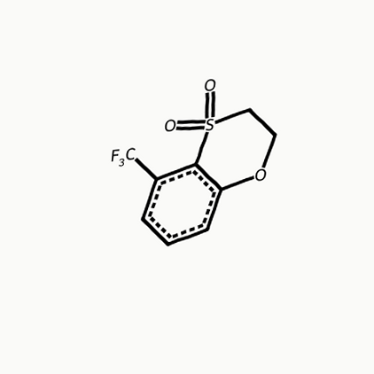 O=S1(=O)CCOc2cccc(C(F)(F)F)c21